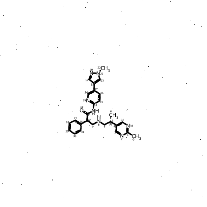 Cc1ncc([C@@H](C)CNCC(C(=O)Nc2ccc(-c3cnn(C)c3)cn2)c2ccccc2)cn1